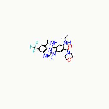 Cc1nc(NC(C)c2cc(N)cc(C(F)(F)F)c2)c2cc(NC(C)C)c(C(=O)N3CCOCC3)cc2n1